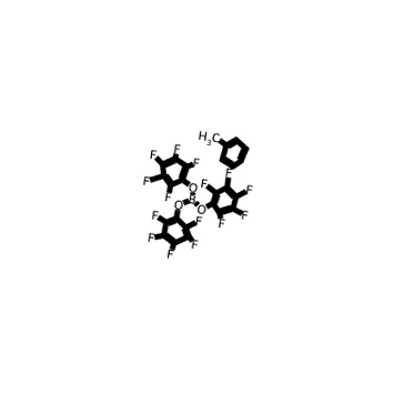 Cc1ccccc1.Fc1c(F)c(F)c(OB(Oc2c(F)c(F)c(F)c(F)c2F)Oc2c(F)c(F)c(F)c(F)c2F)c(F)c1F